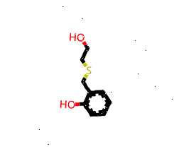 OCCSCc1ccccc1O